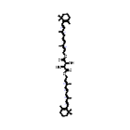 CC1=C(/C=C/C(C)=C/C=C/C(C)=C/COC(=O)C(O)C(O)C(=O)OC/C=C(C)/C=C/C=C(C)/C=C/C2=C(C)CCCC2(C)C)C(C)(C)CCC1